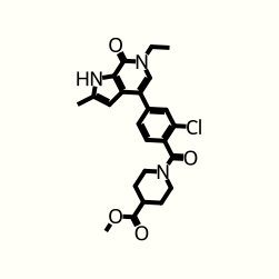 CCn1cc(-c2ccc(C(=O)N3CCC(C(=O)OC)CC3)c(Cl)c2)c2cc(C)[nH]c2c1=O